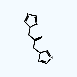 O=C(Cn1cncn1)Cn1cncn1